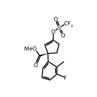 COC(=O)[C@@]1(c2cccc(F)c2C)C=C(OS(=O)(=O)C(F)(F)F)CC1